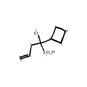 C=CCC(CC)(C(=O)O)C1CCC1